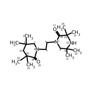 CC1(C)CN(CCN2CC(C)(C)NC(C)(C)C2=O)C(=O)C(C)(C)C1